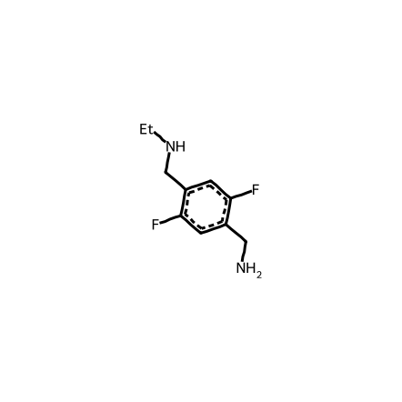 CCNCc1cc(F)c(CN)cc1F